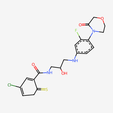 O=C(NCC(O)CNc1ccc(N2CCOCC2=O)c(F)c1)C1=CC(Cl)=CCC1=S